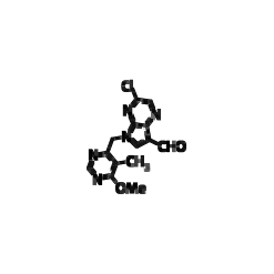 COc1ncnc(Cn2cc(C=O)c3ncc(Cl)nc32)c1C